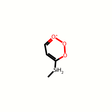 C[SiH2]C1=CC=[O+]OO1